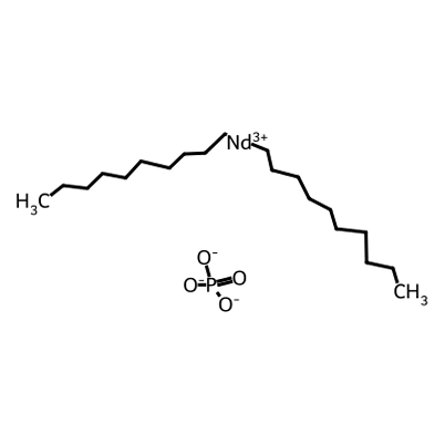 CCCCCCCCC[CH2][Nd+3][CH2]CCCCCCCCC.O=P([O-])([O-])[O-]